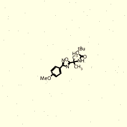 COc1ccc(-c2noc(C(C)(C)NC(=O)OC(C)(C)C)n2)cc1